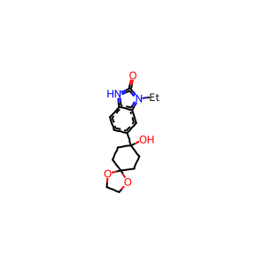 CCn1c(=O)[nH]c2ccc(C3(O)CCC4(CC3)OCCO4)cc21